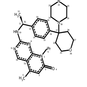 Cc1cc(=O)n(C(C)C)c2nc(N[C@@H](C)c3ccc(C4(N5CCNCC5)CCOCC4)cc3)ncc12